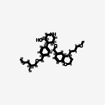 COCCCN1CCOc2ccc(CO[C@H]3CNC[C@@H](O)[C@@H]3c3ccc(COC[C@@H](C)CSC)cc3)cc21